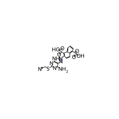 N#CCSc1nc(N)c(/N=N/c2ccc3c(S(=O)(=O)O)cccc3c2S(=O)(=O)O)c(N)n1